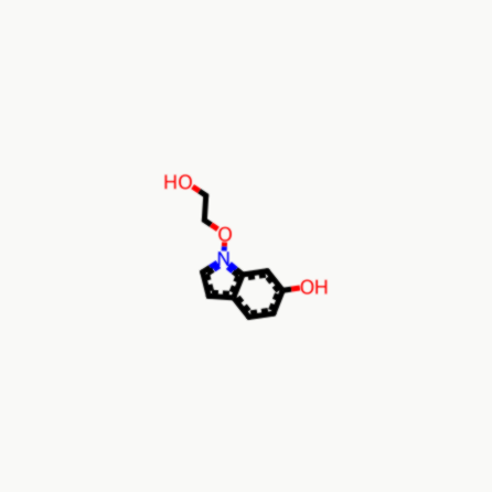 OCCOn1ccc2ccc(O)cc21